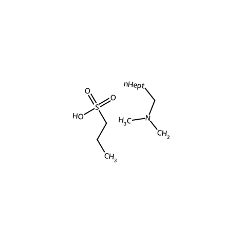 CCCCCCCCN(C)C.CCCS(=O)(=O)O